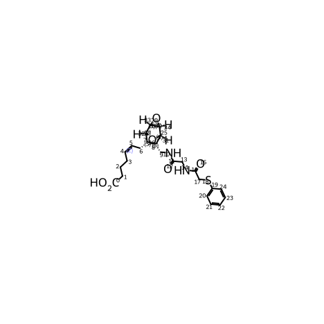 O=C(O)CCC/C=C\C[C@H]1[C@@H](CNC(=O)CNC(=O)CSc2ccccc2)[C@@H]2O[C@H]1[C@@H]1O[C@@H]12